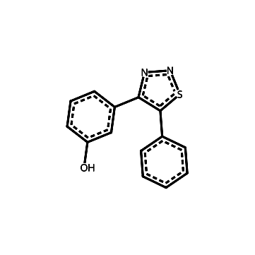 Oc1cccc(-c2nnsc2-c2ccccc2)c1